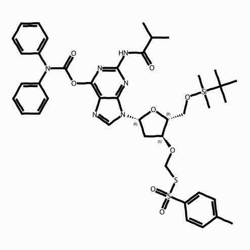 Cc1ccc(S(=O)(=O)SCO[C@H]2C[C@H](n3cnc4c(OC(=O)N(c5ccccc5)c5ccccc5)nc(NC(=O)C(C)C)nc43)O[C@@H]2CO[Si](C)(C)C(C)(C)C)cc1